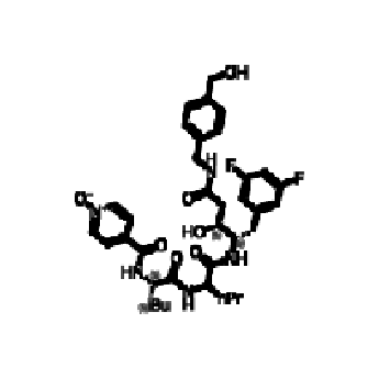 CCCC(NC(=O)[C@@H](NC(=O)c1cc[n+]([O-])cc1)[C@@H](C)CC)C(=O)N[C@@H](Cc1cc(F)cc(F)c1)[C@@H](O)CC(=O)NCc1ccc(CO)cc1